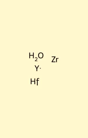 O.[Hf].[Y].[Zr]